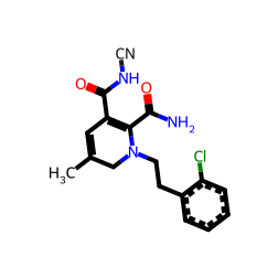 CC1=CC(C(=O)NC#N)=C(C(N)=O)N(CCc2ccccc2Cl)C1